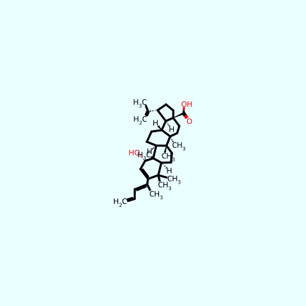 C=C/C=C(\C)C1=C[C@H](O)[C@]2(C)[C@H]3CC[C@@H]4[C@H]5[C@H](C(=C)C)CC[C@]5(C(=O)O)CC[C@@]4(C)[C@]3(C)CC[C@H]2C1(C)C